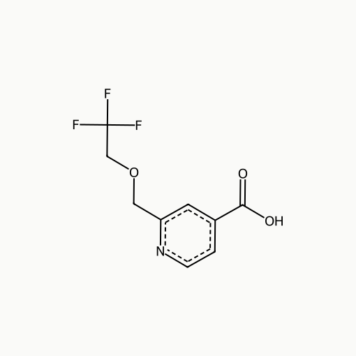 O=C(O)c1ccnc(COCC(F)(F)F)c1